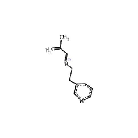 C=C(C)/C=N/CCc1cccnc1